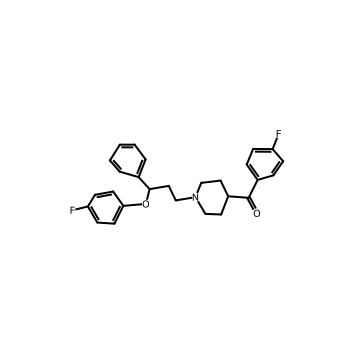 O=C(c1ccc(F)cc1)C1CCN(CCC(Oc2ccc(F)cc2)c2ccccc2)CC1